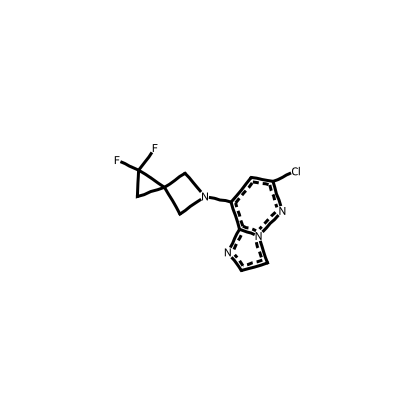 FC1(F)CC12CN(c1cc(Cl)nn3ccnc13)C2